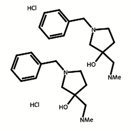 CNCC1(O)CCN(Cc2ccccc2)C1.CNCC1(O)CCN(Cc2ccccc2)C1.Cl.Cl